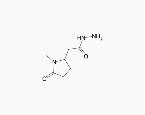 CN1C(=O)CCC1CC(=O)NN